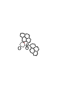 O=C1CCCC(P(=O)(c2ccc3ccc4cccc5ccc2c3c45)c2ccc3ccc4cccc5ccc2c3c45)C1